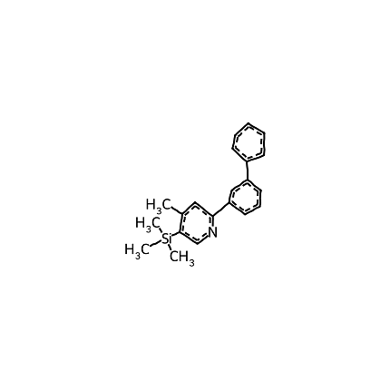 Cc1cc(-c2cccc(-c3ccccc3)c2)ncc1[Si](C)(C)C